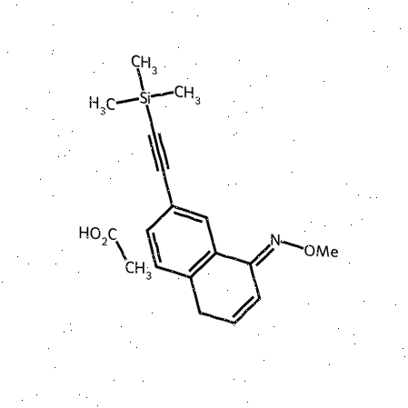 CC(=O)O.CON=C1C=CCc2ccc(C#C[Si](C)(C)C)cc21